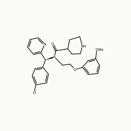 COc1cccc(OCCN(C(=O)C2CCNCC2)[C@@H](c2ccc(Cl)cc2)c2ccccn2)c1